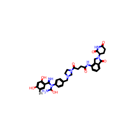 CC(C)c1cc(C(=N)N(c2ccc(CN3CCN(C(=O)CCC(=O)Nc4cccc5c4CN(C4CCC(=O)NC4=O)C5=O)C3)cc2)C(N)O)c(O)cc1O